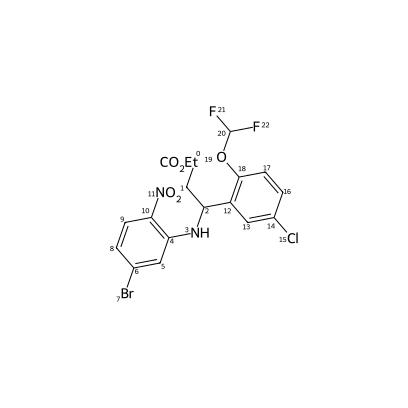 CCOC(=O)CC(Nc1cc(Br)ccc1[N+](=O)[O-])c1cc(Cl)ccc1OC(F)F